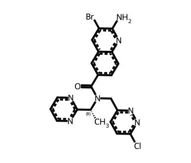 C[C@H](c1ncccn1)N(Cc1ccc(Cl)nn1)C(=O)c1ccc2nc(N)c(Br)cc2c1